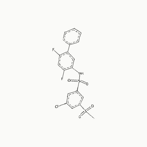 CS(=O)(=O)c1cc(Cl)cc(S(=O)(=O)Nc2cc(-c3ccccc3)c(F)cc2F)c1